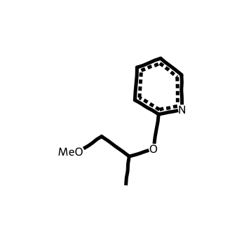 COCC(C)Oc1ccccn1